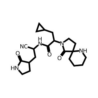 N#CC(CC1CCNC1=O)NC(=O)C(CC1CC1)N1CCC2(CCCCN2)C1=O